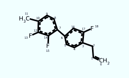 C=CCc1ccc(-c2ccc(C)c(F)c2F)cc1F